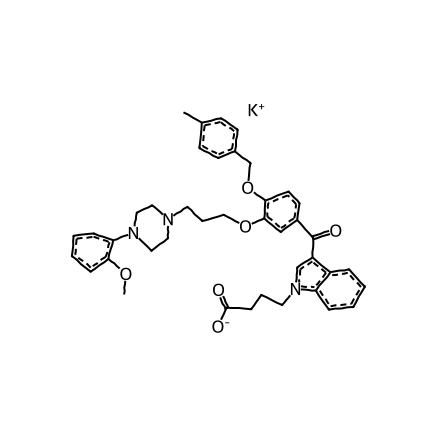 COc1ccccc1N1CCN(CCCOc2cc(C(=O)c3cn(CCCC(=O)[O-])c4ccccc34)ccc2OCc2ccc(C)cc2)CC1.[K+]